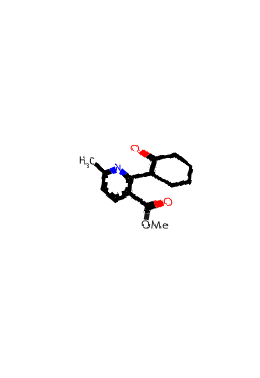 COC(=O)c1ccc(C)nc1C1CCCCC1=O